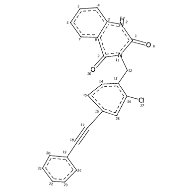 O=c1[nH]c2ccccc2c(=O)n1Cc1ccc(C#Cc2ccccc2)cc1Cl